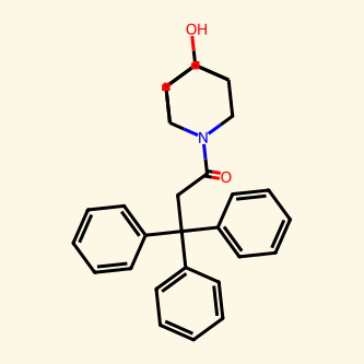 O=C(CC(c1ccccc1)(c1ccccc1)c1ccccc1)N1CC2CCC1CC2O